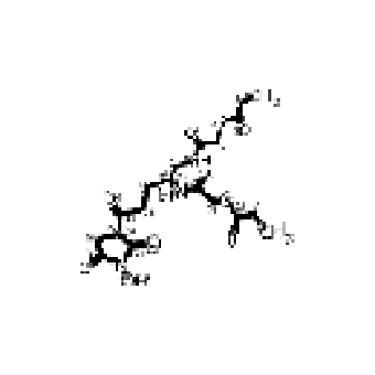 CCC(=O)SCC(=O)NC[C@H](CCC(=O)[C@@H]1CC(=O)N(O)C1=O)NC(=O)CSC(=O)CC